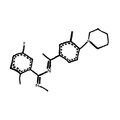 C/N=C(\N=C(/C)c1ccc(N2CCCCC2)c(C)c1)c1cc(F)ccc1C